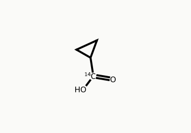 O=[14C](O)C1CC1